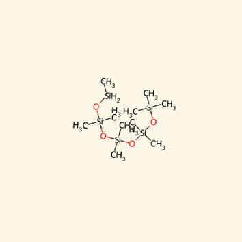 C[SiH2]O[Si](C)(C)O[Si](C)(C)O[Si](C)(C)O[Si](C)(C)C